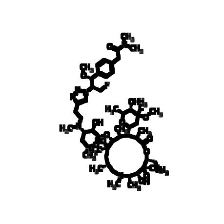 CC[C@H]1OC(=O)[C@H](C)[C@@H](C2C[C@@](C)(OC)[C@@H](O)[C@H](C)O2)[C@H](C)[C@@H](O[C@@H]2O[C@H](C)C[C@H](N(C)CCc3cn([C@H](CF)[C@H](OC)c4ccc(CC(=O)N(C)C)cc4)nn3)[C@H]2O)[C@](C)(O)C[C@@H](C)CN(C)[C@H](C)[C@@H](O)[C@]1(C)O